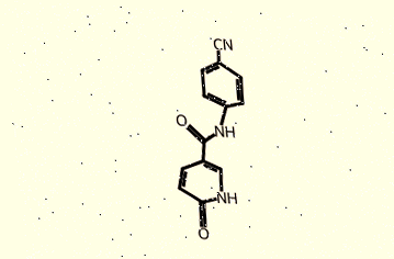 N#Cc1ccc(NC(=O)c2ccc(=O)[nH]c2)cc1